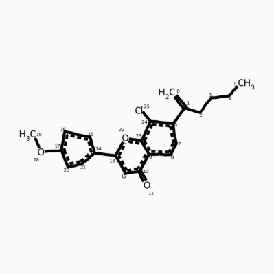 C=C(CCCC)c1ccc2c(=O)cc(-c3ccc(OC)cc3)oc2c1Cl